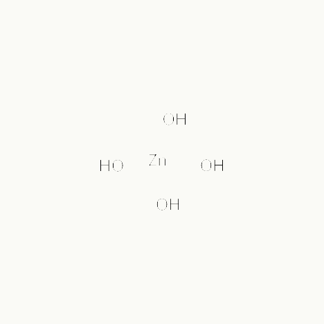 [OH][Zn]([OH])([OH])[OH]